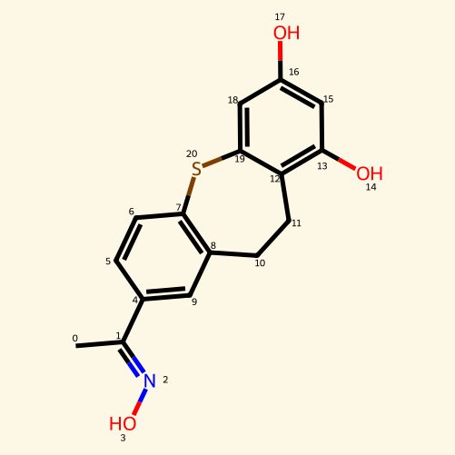 CC(=NO)c1ccc2c(c1)CCc1c(O)cc(O)cc1S2